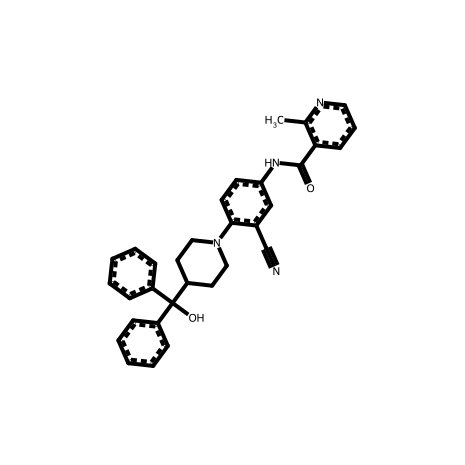 Cc1ncccc1C(=O)Nc1ccc(N2CCC(C(O)(c3ccccc3)c3ccccc3)CC2)c(C#N)c1